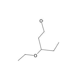 CCOC(CC)CC[O]